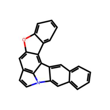 c1ccc2cc3c(cc2c1)c1c2c(cc4ccn3c41)oc1ccccc12